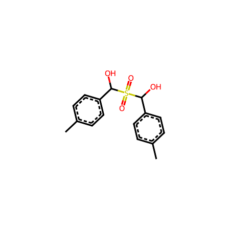 Cc1ccc(C(O)S(=O)(=O)C(O)c2ccc(C)cc2)cc1